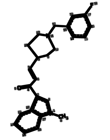 Cn1cc(C(=O)/C=C/C2CCN(Cc3cccc(F)c3)CC2)c2ccccc21